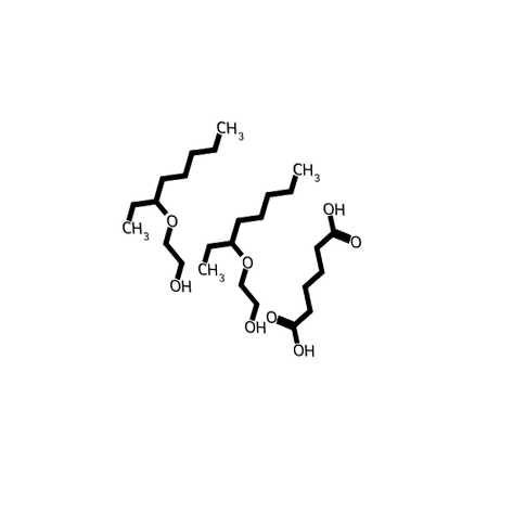 CCCCCC(CC)OCCO.CCCCCC(CC)OCCO.O=C(O)CCCCC(=O)O